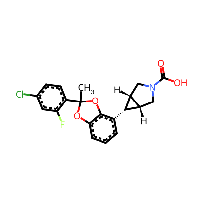 CC1(c2ccc(Cl)cc2F)Oc2cccc([C@@H]3[C@@H]4CN(C(=O)O)C[C@@H]43)c2O1